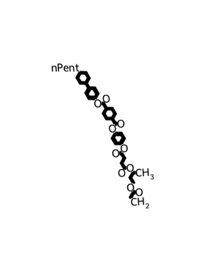 C=CC(=O)OCCC(C)OC(=O)CCC(=O)Oc1ccc(OC(=O)C2CCC(C(=O)Oc3ccc(C4CCC(CCCCC)CC4)cc3)CC2)cc1